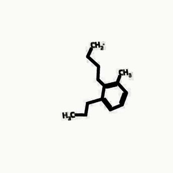 [CH2]CCCc1c(C)cccc1CCC